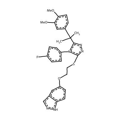 COc1ccc(C(C)(C)c2nnc(SCCOc3ccc4[nH]ncc4c3)n2-c2ccc(F)cc2)cc1OC